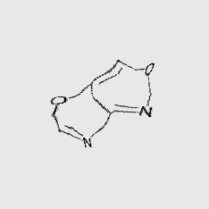 c1nc2nocc2o1